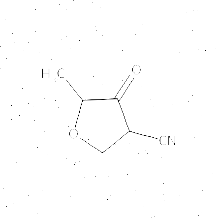 CC1OCC(C#N)C1=O